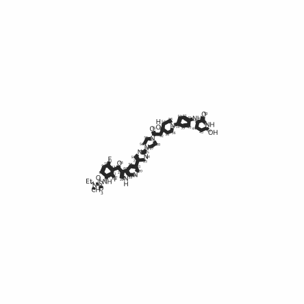 CCN(C)S(=O)(=O)Nc1ccc(F)c(C(=O)c2c[nH]c3ncc(-c4cnc(N5CCN(C(=O)CC6(O)CCN(c7ccc(NC8CCC(O)NC8=O)cc7)CC6)CC5)nc4)cc23)c1F